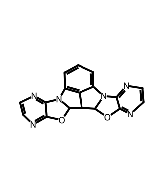 c1cc2c3c(c1)N1c4nccnc4OC1C3C1Oc3nccnc3N21